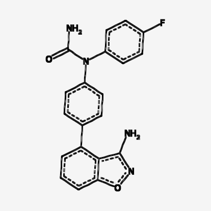 NC(=O)N(c1ccc(F)cc1)c1ccc(-c2cccc3onc(N)c23)cc1